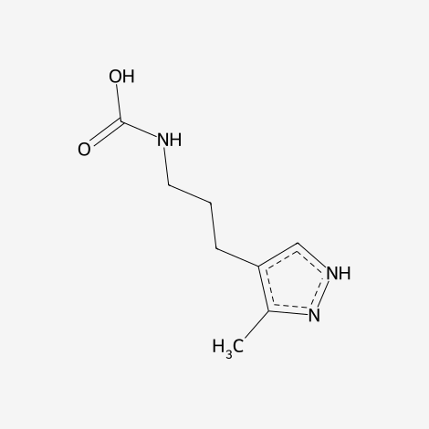 Cc1n[nH]cc1CCCNC(=O)O